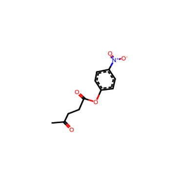 CC(=O)CCC(=O)Oc1ccc([N+](=O)[O-])cc1